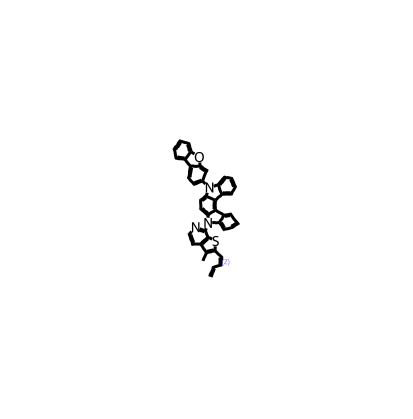 C=C/C=C\c1sc2c(-n3c4ccccc4c4c5c6ccccc6n(-c6ccc7c(c6)oc6ccccc67)c5ccc43)nccc2c1C